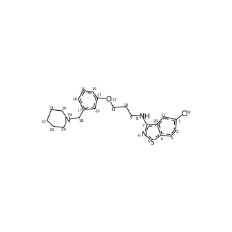 Clc1ccc2snc(NCCCOc3cccc(CN4CCCCC4)c3)c2c1